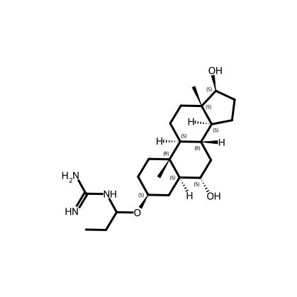 CCC(NC(=N)N)O[C@H]1CC[C@@]2(C)[C@H](C1)[C@@H](O)C[C@@H]1[C@@H]2CC[C@]2(C)[C@@H](O)CC[C@@H]12